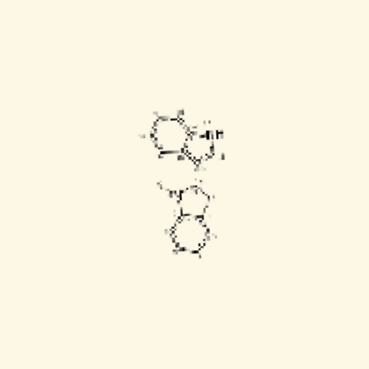 CN1c2ccccc2C[C@H]1c1c[nH]c2ccccc12